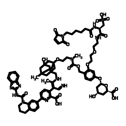 C/C(NCC12CC3(C)CC(C)(C1)CC(OCCN(C)C(=O)OCc1ccc(O[C@H]4C[C@@H](O)C[C@@H](C(=O)O)O4)cc1OCCOCCNC(=O)[C@H](CS(=O)(=O)O)NC(=O)CCCCCN1C(=O)C=CC1=O)(C3)C2)=C(/C=N)c1ccc(-c2ccc3c(c2)N(C(=O)Nc2nc4ccccc4s2)CCC3)nc1C(=O)O